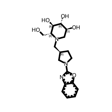 OC[C@@H]1[C@@H](O)[C@H](O)[C@@H](O)CN1C[C@H]1CCN(c2nc3ccccc3o2)C1